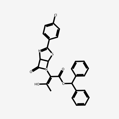 CC(O)=C(C(=O)OC(c1ccccc1)c1ccccc1)N1C(=O)C2N=C(c3ccc(Cl)cc3)SC21